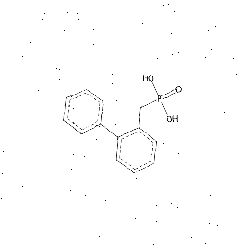 O=P(O)(O)Cc1ccccc1-c1ccccc1